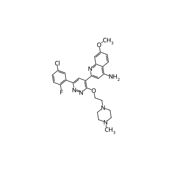 COc1ccc2c(N)cc(-c3cc(-c4cc(Cl)ccc4F)nnc3OCCN3CCN(C)CC3)nc2c1